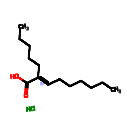 CCCCCC/C=C(\CCCCC)C(=O)O.Cl